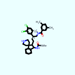 CNC(=O)NC1c2ccccc2C2(CCNCC2)C1CC[C@H](CN(C)C(=O)c1cc(C)cc(C)c1)c1ccc(Cl)c(Cl)c1